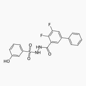 O=C(NNS(=O)(=O)c1cccc(O)c1)c1cc(-c2ccccc2)cc(F)c1F